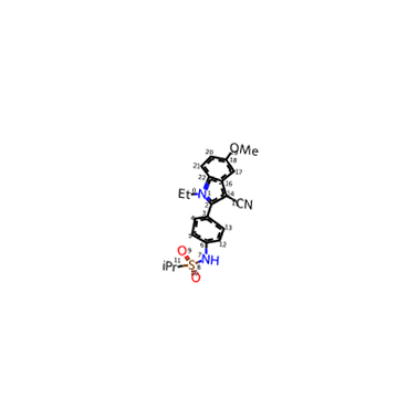 CCn1c(-c2ccc(NS(=O)(=O)C(C)C)cc2)c(C#N)c2cc(OC)ccc21